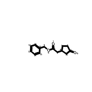 O=C1CCC(CC(=O)OCc2ccccc2)C1